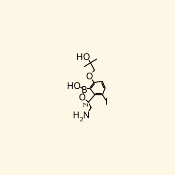 CC(C)(O)COc1ccc(I)c2c1B(O)O[C@@H]2CN